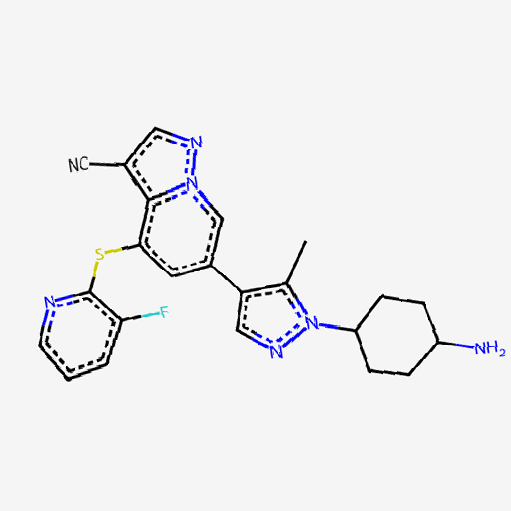 Cc1c(-c2cc(Sc3ncccc3F)c3c(C#N)cnn3c2)cnn1C1CCC(N)CC1